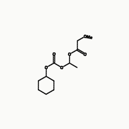 COCC(=O)OC(C)OC(=O)OC1CCCCC1